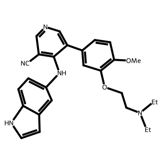 CCN(CC)CCOc1cc(-c2cncc(C#N)c2Nc2ccc3[nH]ccc3c2)ccc1OC